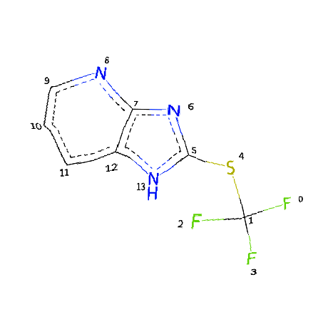 FC(F)(F)Sc1nc2ncccc2[nH]1